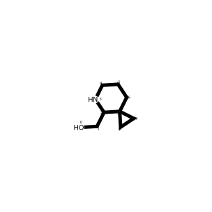 OCC1NCCCC12CC2